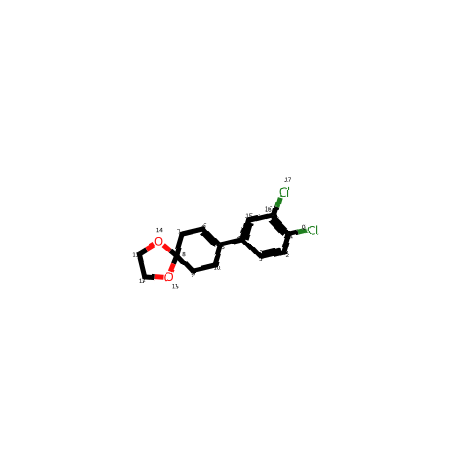 Clc1ccc(C2=CCC3(CC2)OCCO3)cc1Cl